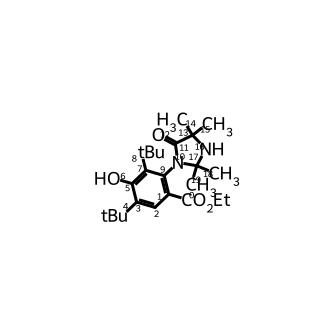 CCOC(=O)c1cc(C(C)(C)C)c(O)c(C(C)(C)C)c1N1C(=O)C(C)(C)NC1(C)C